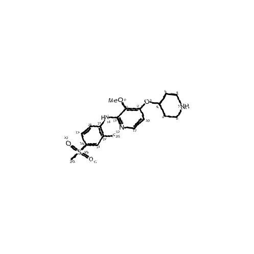 COc1c(OC2CCNCC2)ccnc1Nc1ccc(S(C)(=O)=O)cc1F